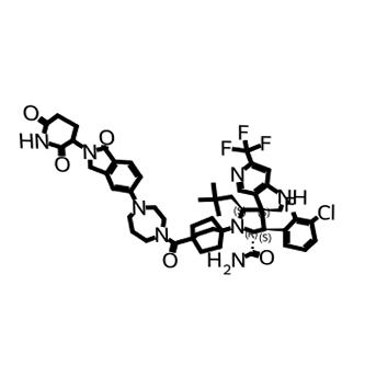 CC(C)(C)C[C@@H]1N(C23CCC(C(=O)N4CCCN(c5ccc6c(c5)CN(C5CCC(=O)NC5=O)C6=O)CC4)(CC2)CC3)[C@@H](C(N)=O)[C@H](c2cccc(Cl)c2F)[C@]12CNc1cc(C(F)(F)F)ncc12